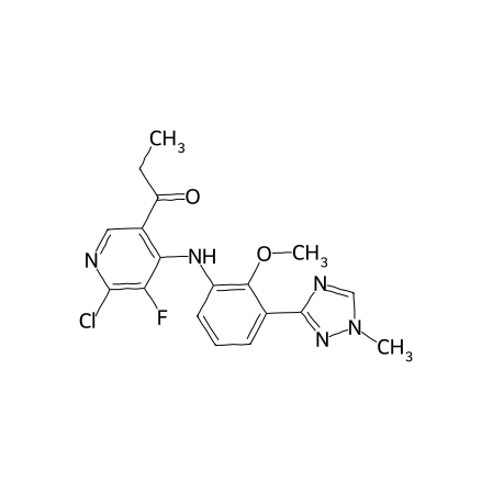 CCC(=O)c1cnc(Cl)c(F)c1Nc1cccc(-c2ncn(C)n2)c1OC